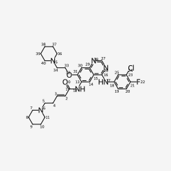 O=C(C=CCCN1CCCCC1)Nc1cc2c(Nc3ccc(F)c(Cl)c3)ncnc2cc1OCCN1CCCCC1